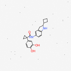 O=C(Nc1ccc2c(c1)CC(C1CCC1)N2)C1(c2ccc(O)c(O)c2)CC1